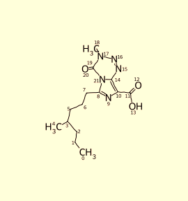 CCCC(C)CCCc1nc(C(=O)O)c2nnn(C)c(=O)n12